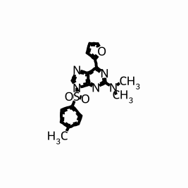 Cc1ccc(S(=O)(=O)n2cnc3c(-c4ccco4)nc(N(C)C)nc32)cc1